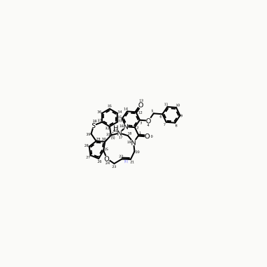 O=C1c2c(OCc3ccccc3)c(=O)ccn2N2CN1C/C=C/COc1cccc3c1[C@H]2c1ccccc1SC3